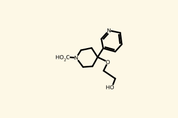 O=C(O)N1CCC(OCCO)(c2cccnc2)CC1